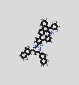 c1cc(-c2cccc(-c3nc4ccccc4c4c5ccccc5c5ccccc5c34)c2)cc(-c2nc(-c3ccc4ccccc4c3)cc(-c3ccc4ccccc4c3)n2)c1